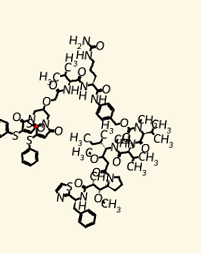 CCC(C)[C@@H](C(CC(=O)N1CCC[C@H]1[C@H](OC)[C@@H](C)C(=O)N[C@@H](Cc1ccccc1)c1nccs1)OC)N(C)C(=O)[C@@H](NC(=O)[C@H](C(C)C)N(C)C(=O)OCc1ccc(NC(=O)[C@H](CCCNC(N)=O)NC(=O)[C@@H](NC(=O)COC(CN2C(=O)C=C(Sc3ccccc3)C2=O)CN2C(=O)C=C(Sc3ccccc3)C2=S)C(C)C)cc1)C(C)C